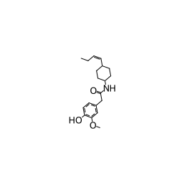 CC/C=C\C1CCC(NC(=O)Cc2ccc(O)c(OC)c2)CC1